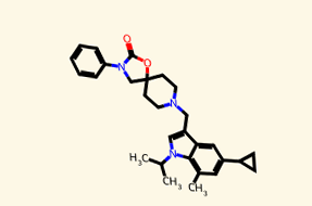 Cc1cc(C2CC2)cc2c(CN3CCC4(CC3)CN(c3ccccc3)C(=O)O4)cn(C(C)C)c12